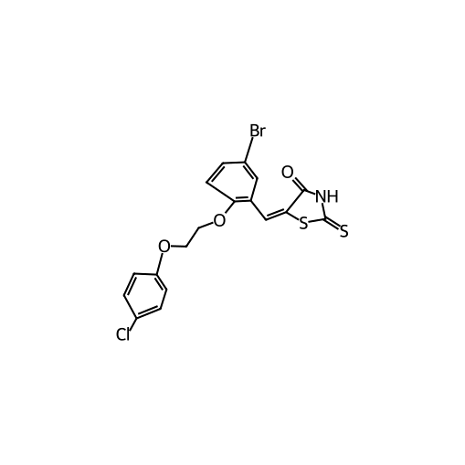 O=C1NC(=S)SC1=Cc1cc(Br)ccc1OCCOc1ccc(Cl)cc1